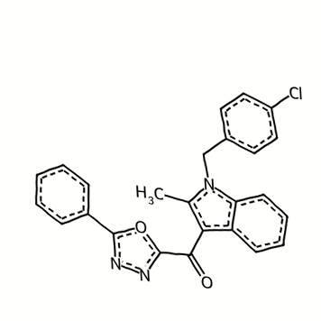 Cc1c(C(=O)c2nnc(-c3ccccc3)o2)c2ccccc2n1Cc1ccc(Cl)cc1